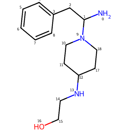 NC(Cc1ccccc1)N1CCC(NCCO)CC1